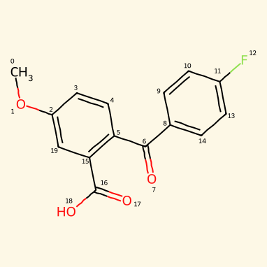 COc1ccc(C(=O)c2ccc(F)cc2)c(C(=O)O)c1